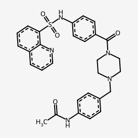 CC(=O)Nc1ccc(CN2CCN(C(=O)c3ccc(NS(=O)(=O)c4cccc5cccnc45)cc3)CC2)cc1